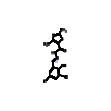 Cc1nc(C)c(C(=O)N/N=C/c2cc(Cl)cc(Cl)c2O)s1